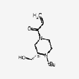 C=CC(=O)N1CCN(C(C)(C)C)[C@H](CO)C1